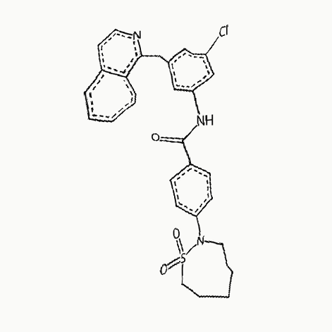 O=C(Nc1cc(Cl)cc(-c2nccc3ccccc23)c1)c1ccc(N2CCCCCS2(=O)=O)cc1